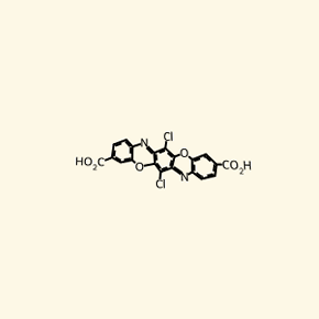 O=C(O)c1ccc2c(c1)Oc1c(Cl)c3c(c(Cl)c1=N2)Oc1cc(C(=O)O)ccc1N=3